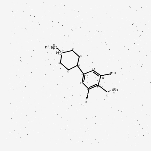 CCCCCCC[SiH]1CCC(c2cc(F)c(C[C@@H](C)CC)c(F)c2)CC1